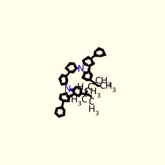 CCC(C)(C)c1ccc2c(c1)c1cc(-c3ccccc3)ccc1n2-c1cccc(-c2cccc(-n3c4ccc(-c5ccccc5)cc4c4cc(C(C)(C)CC)ccc43)c2)c1